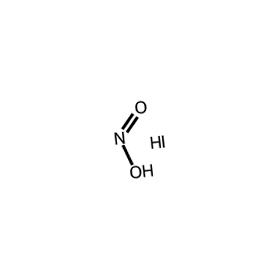 I.O=NO